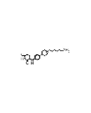 NCCCCCCN1CCC(c2ccc(NC3CCC(=O)NC3=O)cc2)CC1